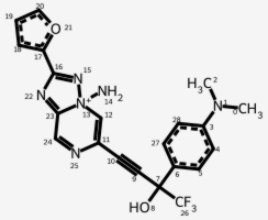 CN(C)c1ccc(C(O)(C#CC2=C[N+]3(N)N=C(c4ccco4)N=C3C=N2)C(F)(F)F)cc1